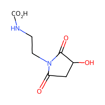 O=C(O)NCCN1C(=O)CC(O)C1=O